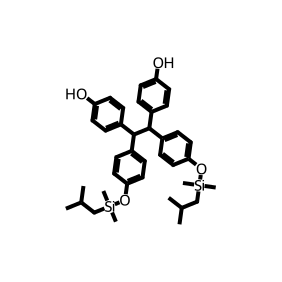 CC(C)C[Si](C)(C)Oc1ccc(C(c2ccc(O)cc2)C(c2ccc(O)cc2)c2ccc(O[Si](C)(C)CC(C)C)cc2)cc1